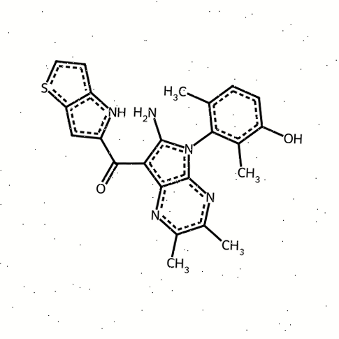 Cc1ccc(O)c(C)c1-n1c(N)c(C(=O)c2cc3sccc3[nH]2)c2nc(C)c(C)nc21